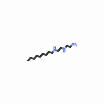 [CH2]CCCCCCCCNCCNCCN